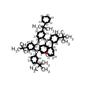 Cc1cc2c3c(c1)N(c1ccc(C(C)(C)C)cc1-c1ccccc1)c1cc(C(C)(C)c4ccccc4)ccc1B3c1ccc(C(C)(C)C)cc1N2c1cccc(C(C)(C)C)c1